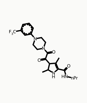 CCCNC(=O)C1=C(C)C(C(=O)C(=O)N2CCN(c3cccc(C(F)(F)F)c3)CC2)C(C)N1